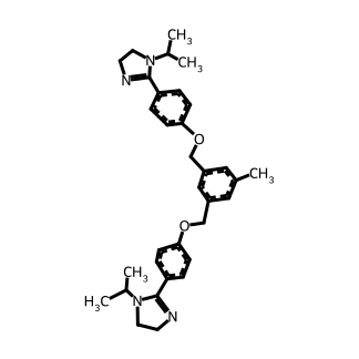 Cc1cc(COc2ccc(C3=NCCN3C(C)C)cc2)cc(COc2ccc(C3=NCCN3C(C)C)cc2)c1